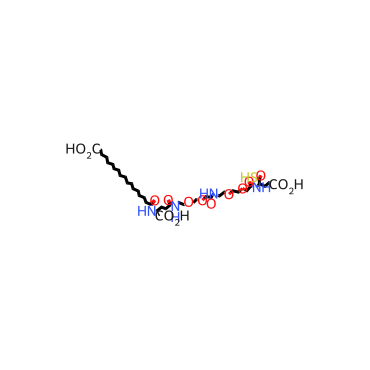 O=C(O)CCCCCCCCCCCCCCCCC(=O)N[C@@H](CCC(=O)NCCOCCOCC(=O)NCCOCCOCC(=O)NC(CCC(=O)O)C(=O)S)C(=O)O